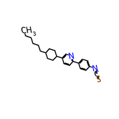 CCCCCCC1CCC(c2ccc(-c3ccc(N=C=S)cc3)nc2)CC1